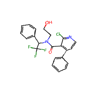 O=C(c1c(-c2ccccc2)ccnc1Cl)N(CCO)C(c1ccccc1)C(F)(F)F